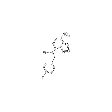 [CH2]CN(Cc1ccc(F)cc1)c1ccc([N+](=O)[O-])c2nonc12